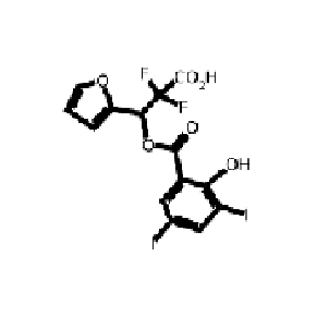 O=C(OC(c1ccco1)C(F)(F)C(=O)O)c1cc(I)cc(I)c1O